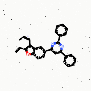 C=Cc1oc2ccc(-c3cc(-c4ccccc4)nc(-c4ccccc4)n3)cc2c1/C=C\C